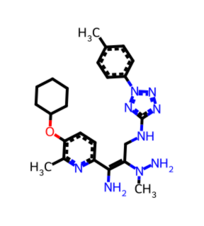 Cc1ccc(-n2nnc(NC/C(=C(/N)c3ccc(OC4CCCCC4)c(C)n3)N(C)N)n2)cc1